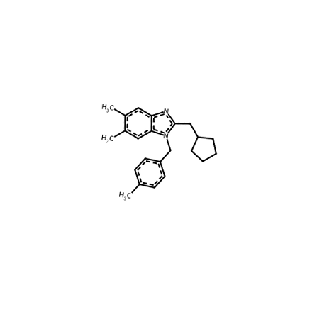 Cc1ccc(Cn2c(CC3CCCC3)nc3cc(C)c(C)cc32)cc1